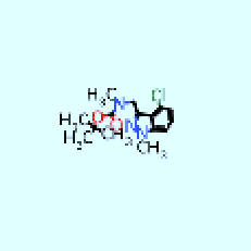 CN(Cc1nn(C)c2cccc(Cl)c12)C(=O)OC(C)(C)C